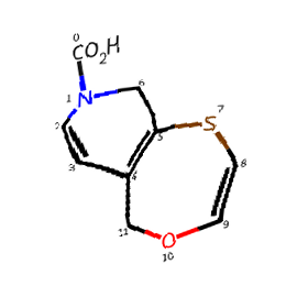 O=C(O)N1C=CC2=C(C1)SC=COC2